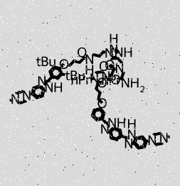 CCCN(CC(=O)N(CCC)CC(=O)N(CC(N)=O)CC1=CN(CCCNC(=O)CCCOc2c(C(C)(C)C)cc(-c3nc4cc(N5CCN(C)CC5)ccc4[nH]3)cc2C(C)(C)C)NN1)C(=O)CCCOc1cccc(-c2nc3ccc(-c4nc5ccc(N6CCN(C)CC6)cc5[nH]4)cc3[nH]2)c1